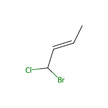 CC=CC(Cl)Br